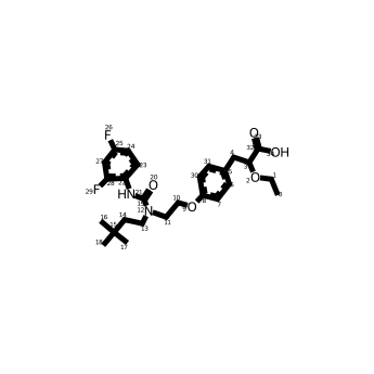 CCOC(Cc1ccc(OCCN(CCC(C)(C)C)C(=O)Nc2ccc(F)cc2F)cc1)C(=O)O